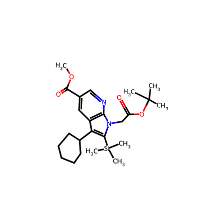 COC(=O)c1cnc2c(c1)c(C1CCCCC1)c([Si](C)(C)C)n2CC(=O)OC(C)(C)C